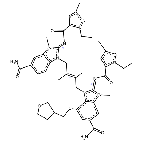 CCn1nc(C)cc1C(=O)/N=c1\n(C)c2cc(C(N)=O)ccc2n1C/C(C)=C(\C)Cn1/c(=N/C(=O)c2cc(C)nn2CC)n(C)c2cc(C(N)=O)cc(OCC3CCOC3)c21